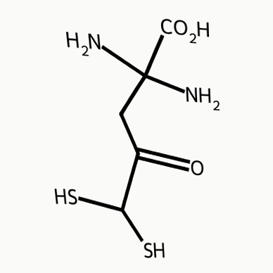 NC(N)(CC(=O)C(S)S)C(=O)O